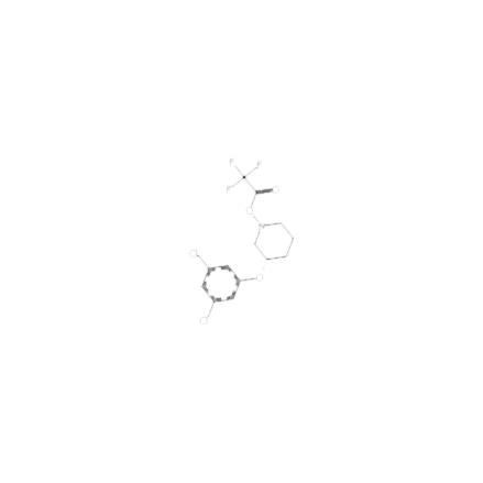 O=C(ON1CCC[C@H](Oc2cc(Cl)cc(Cl)c2)C1)C(F)(F)F